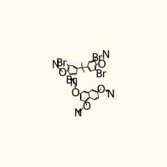 CC(C)(c1cc(Br)c(OC#N)c(Br)c1)c1cc(Br)c(OC#N)c(Br)c1.N#COc1ccc2c(OC#N)cc(OC#N)cc2c1